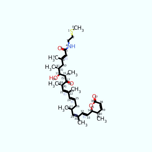 CSCCNC(=O)/C=C(\C)C[C@H](C)C(O)[C@H](C)C(=O)[C@H](C)/C=C(C)/C=C/CC(C)/C=C(C)\C=C\C1OC(=O)C=C[C@@H]1C